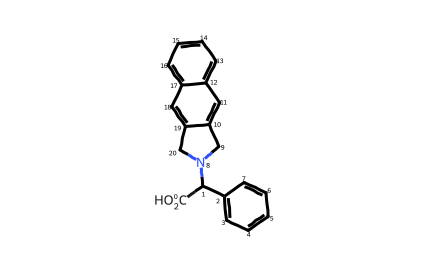 O=C(O)C(c1ccccc1)N1Cc2cc3ccccc3cc2C1